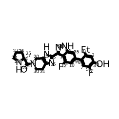 CCc1cc(O)c(F)cc1-c1cc(F)c2c(-c3nc4c([nH]3)CN(C(=O)[C@]3(C)CCCN3)CC4)n[nH]c2c1